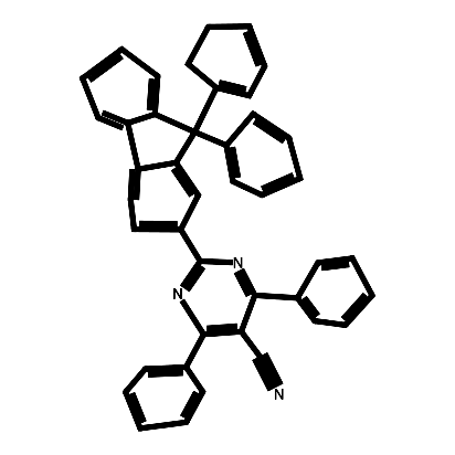 N#Cc1c(-c2ccccc2)nc(-c2ccc3c(c2)C(C2=CC=CCC2)(c2ccccc2)c2ccccc2-3)nc1-c1ccccc1